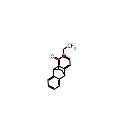 O=C(OCC(F)(F)F)C1CC2c3ccccc3C1c1ccccc12